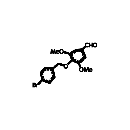 COc1cc(C=O)cc(OC)c1OCc1ccc(Br)cc1